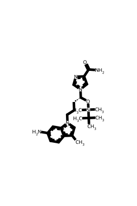 Cc1cn(CCC[C@@H](O[Si](C)(C)C(C)(C)C)n2cnc(C(N)=O)c2)c2cc(N)ccc12